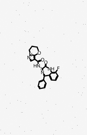 O=C(N[C@H]1N=C(c2ccccc2)c2cccc(F)c2NC1=O)c1cnn2c1OCCC2